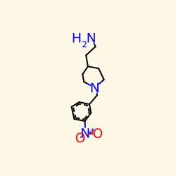 NCCC1CCN(Cc2cccc([N+](=O)[O-])c2)CC1